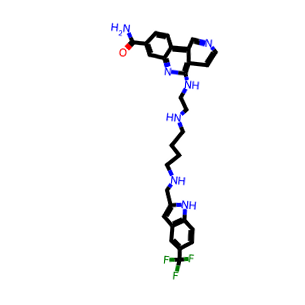 NC(=O)c1ccc2c(c1)nc(NCCNCCCCNCc1cc3cc(C(F)(F)F)ccc3[nH]1)c1ccncc12